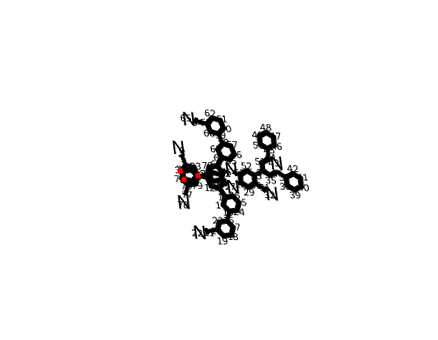 N#Cc1cccc(-c2ccc3c(c2)c2cc(-c4cccc(C#N)c4)ccc2n3-c2cc(C#N)c(-c3cc(-c4ccccc4)nc(-c4ccccc4)c3)cc2-n2c3ccc(-c4cccc(C#N)c4)cc3c3cc(-c4cccc(C#N)c4)ccc32)c1